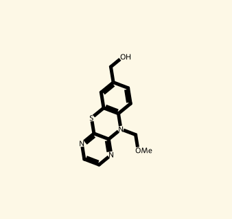 COCN1c2ccc(CO)cc2Sc2nccnc21